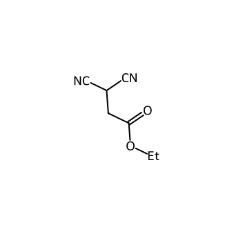 CCOC(=O)CC(C#N)C#N